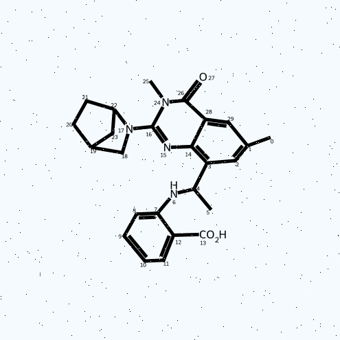 Cc1cc(C(C)Nc2ccccc2C(=O)O)c2nc(N3CC4CCC3C4)n(C)c(=O)c2c1